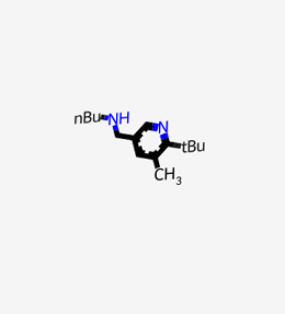 CCCCNCc1cnc(C(C)(C)C)c(C)c1